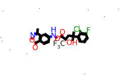 Cc1noc(=O)c2ccc(NOC(=O)C(O)(CC(C)(C)c3cccc(F)c3Cl)C(F)(F)F)cc12